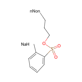 CCCCCCCCCCCCOS(=O)(=O)c1ccccc1C.[NaH]